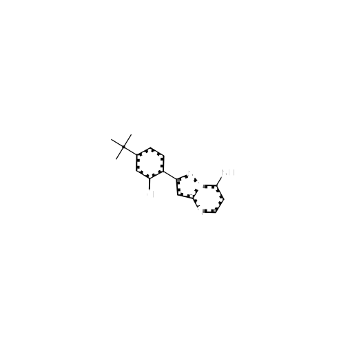 CC(C)(C)c1ccc(-c2cc3nccc(N)n3n2)c(Cl)c1